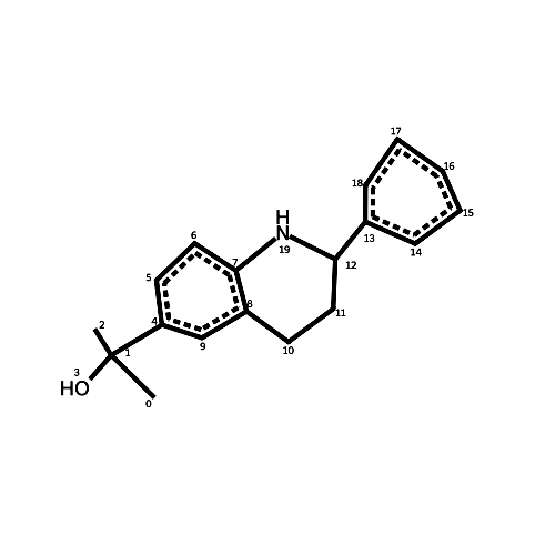 CC(C)(O)c1ccc2c(c1)CCC(c1ccccc1)N2